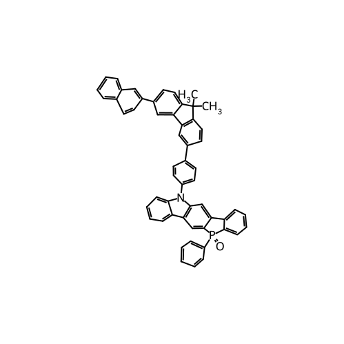 CC1(C)c2ccc(-c3ccc(-n4c5ccccc5c5cc6c(cc54)-c4ccccc4P6(=O)c4ccccc4)cc3)cc2-c2cc(-c3ccc4ccccc4c3)ccc21